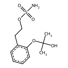 CC(C)(O)Oc1ccccc1CCOS(N)(=O)=O